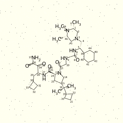 C[C@@H]1CN(C[C@@H](NC(=O)NCC(=O)N2CC(C(C)(C)C3CCC3)C[C@H]2C(=O)NC(CC2CCC2)C(=O)C(N)=O)C2CCCCC2)C[C@H](C)N1C